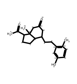 CC(=O)C1CCC2C(CCc3cc(O)ccc3C)CC(=O)CC12C